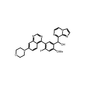 COc1cc(F)c(-c2ncnc3cc(N4CCOCC4)ccc23)cc1C(O)c1nccn2ccnc12